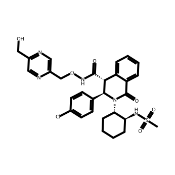 CS(=O)(=O)N[C@H]1CCCC[C@@H]1N1C(=O)c2ccccc2[C@@H](C(=O)NOCc2cnc(CO)cn2)[C@@H]1c1ccc(Cl)cc1